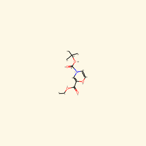 CCOC(=O)C1=CN(C(=O)OC(C)(C)C)C=CO1